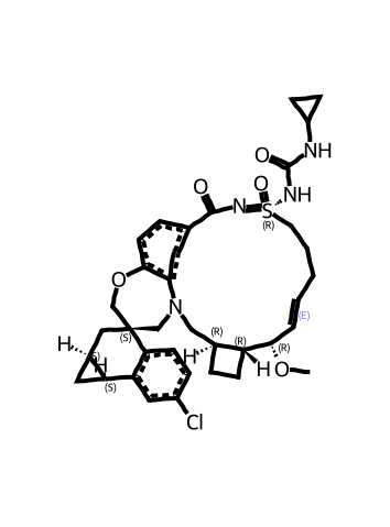 CO[C@H]1/C=C/CCC[S@@](=O)(NC(=O)NC2CC2)=NC(=O)c2ccc3c(c2)N(C[C@@H]2CC[C@H]21)C[C@]1(CO3)C[C@@H]2C[C@@H]2c2cc(Cl)ccc21